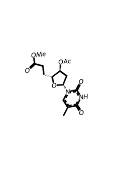 COC(=O)CC[C@H]1O[C@@H](n2cc(C)c(=O)[nH]c2=O)C[C@@H]1OC(C)=O